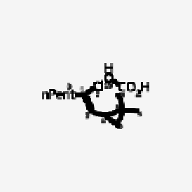 CCCCCC(Cl)=CC1CC1(C)C.O=C(O)O